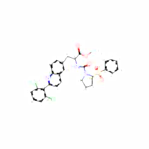 COC(=O)C(Cc1ccc2nc(-c3c(Cl)cccc3Cl)ccc2c1)NC(=O)N1CCC[C@@H]1S(=O)(=O)c1ccccc1